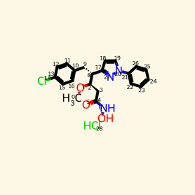 CO[C@H](CC(=O)NO)[C@H](Cc1ccc(Cl)cc1)c1ccn(-c2ccccc2)n1.Cl